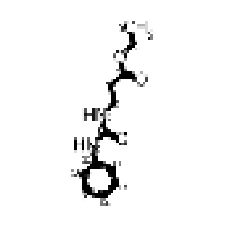 CCOC(=O)CCNC(=O)Nc1ccccc1